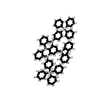 c1ccc([Si](c2ccccc2)(c2ccccc2)c2ccc(N3c4ccccc4B4c5ccccc5N(c5ccc([Si](c6ccccc6)(c6ccccc6)c6ccccc6)cc5)c5cc(-n6c7ccccc7c7ccccc76)cc3c54)cc2)cc1